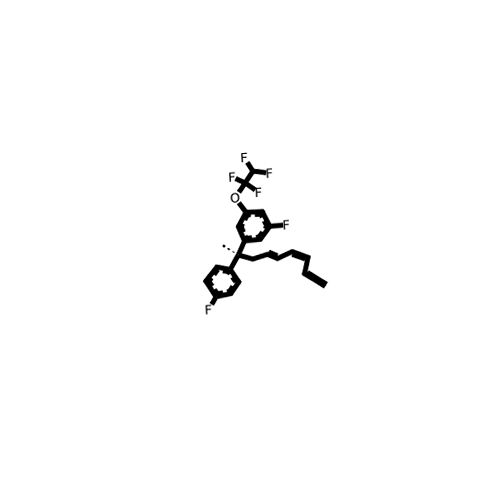 C=C/C=C\C=C\C[C@@](C)(c1ccc(F)cc1)c1cc(F)cc(OC(F)(F)C(F)F)c1